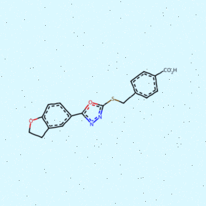 O=C(O)c1ccc(CSc2nnc(-c3ccc4c(c3)CCO4)o2)cc1